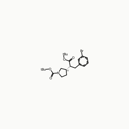 CC(C)(C)OC(=O)C(Cc1cccc(Br)c1)[C@@H]1CCN(C(=O)OC(C)(C)C)C1